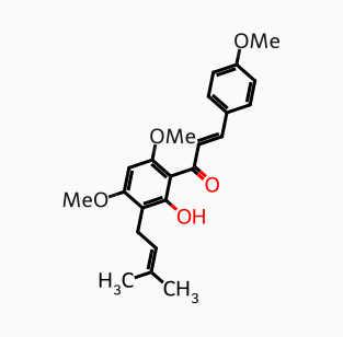 COc1ccc(C=CC(=O)c2c(OC)cc(OC)c(CC=C(C)C)c2O)cc1